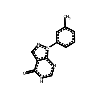 Cc1cccc(-n2ncc3c(=O)[nH]cnc32)c1